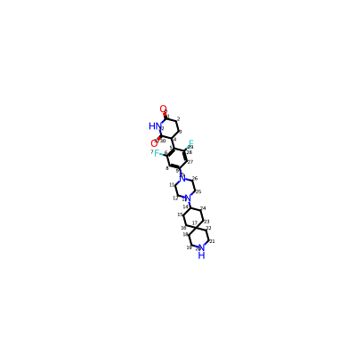 O=C1CCC(c2c(F)cc(N3CCN(C4CCC5(CCNCC5)CC4)CC3)cc2F)C(=O)N1